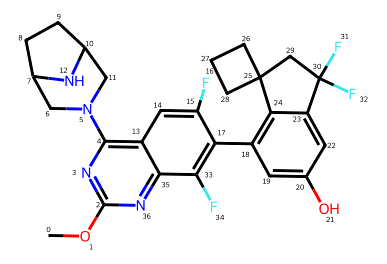 COc1nc(N2CC3CCC(C2)N3)c2cc(F)c(-c3cc(O)cc4c3C3(CCC3)CC4(F)F)c(F)c2n1